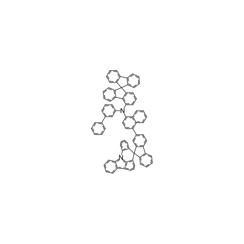 c1ccc(-c2cccc(N(c3cccc4c3-c3ccccc3C43c4ccccc4-c4ccccc43)c3ccc(-c4ccc5c(c4)C4(c6ccccc6-5)c5ccccc5-n5c6ccccc6c6cccc4c65)c4ccccc34)c2)cc1